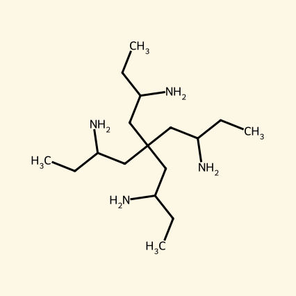 CCC(N)CC(CC(N)CC)(CC(N)CC)CC(N)CC